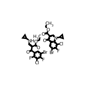 CCOC(=O)C(=CNC1CC1)C(=O)c1cc(Br)c(F)c(Cl)c1F.CCOC(=O)c1cn(C2CC2)c2c(Cl)c(F)c(Br)cc2c1=O